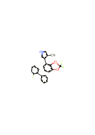 Fc1ccccc1-c1ccccc1.N#Cc1c[nH]cc1-c1cccc2c1OC(F)(F)O2